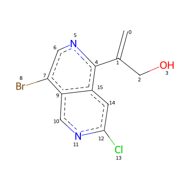 C=C(CO)c1ncc(Br)c2cnc(Cl)cc12